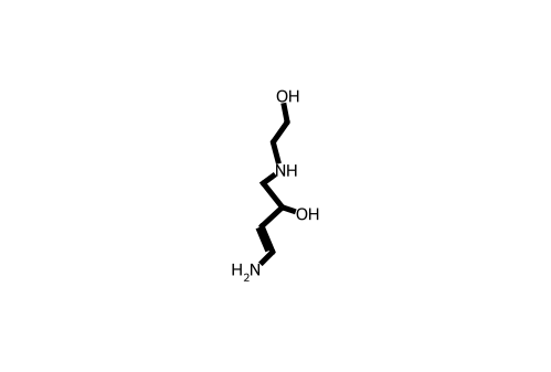 NC=CC(O)CNCCO